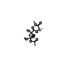 [2H]C([2H])(CC([2H])([2H])C(=O)O[C@@H](C)C(=O)OC)OC(C)=O